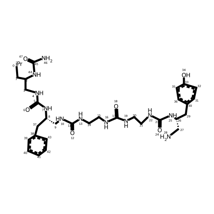 CC(C)CC(CNC(=O)N[C@H](CNC(=O)NCCNC(=O)NCCNC(=O)N[C@@H](CN)Cc1ccc(O)cc1)Cc1ccccc1)NC(N)=O